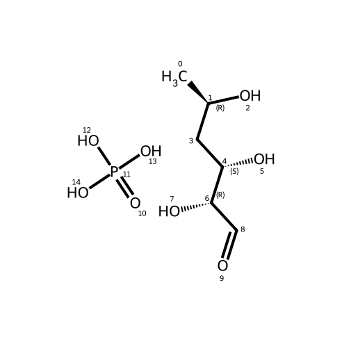 C[C@@H](O)C[C@H](O)[C@@H](O)C=O.O=P(O)(O)O